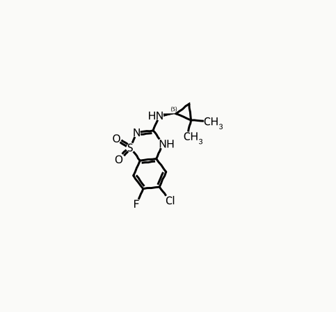 CC1(C)C[C@@H]1NC1=NS(=O)(=O)c2cc(F)c(Cl)cc2N1